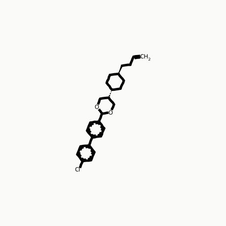 C=CCC[C@H]1CC[C@H](C2COC(c3ccc(-c4ccc(Cl)cc4)cc3)OC2)CC1